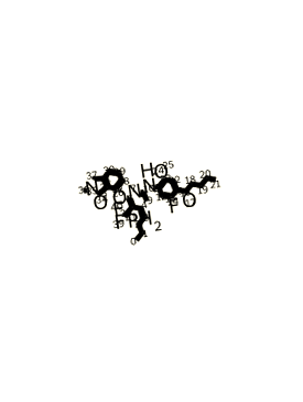 CCC\C=C/C(=C(\N=C(/C)Nc1cc(F)c(C(=O)CCCC)cc1OC)Oc1cccc2c1C(=O)N(C)C2)C(F)(F)P